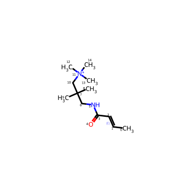 C/C=C/C(=O)NCC(C)(C)C[N+](C)(C)C